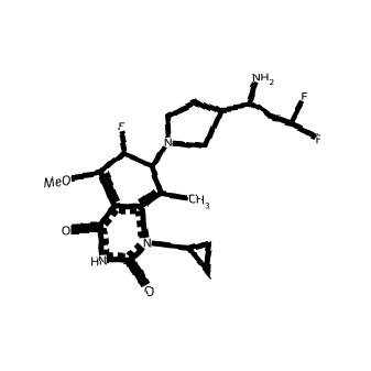 COC1=c2c(=O)[nH]c(=O)n(C3CC3)c2=C(C)C(N2CCC(C(N)CC(F)F)C2)C1F